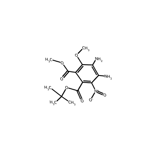 COC(=O)c1c(OC)c(N)c(N)c([N+](=O)[O-])c1C(=O)OC(C)(C)C